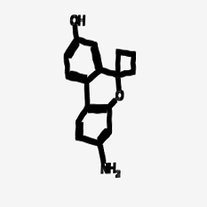 Nc1ccc2c(c1)OC1(CCC1)c1cc(O)ccc1-2